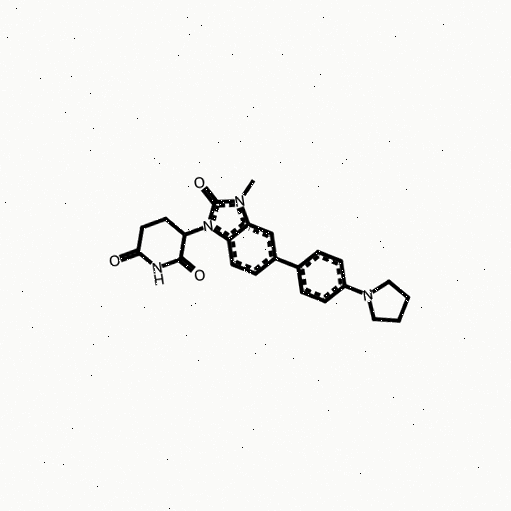 Cn1c(=O)n(C2CCC(=O)NC2=O)c2ccc(-c3ccc(N4CCCC4)cc3)cc21